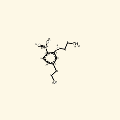 CCCOc1cc(CCBr)ccc1[N+](=O)[O-]